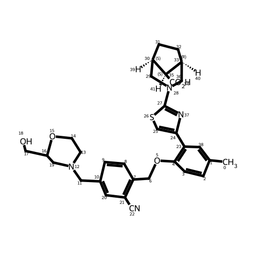 Cc1ccc(OCc2ccc(CN3CCOC(CO)C3)cc2C#N)c(-c2csc(N3C[C@H]4CC[C@@H](C3)[C@H]4C(=O)O)n2)c1